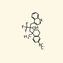 [C-]#[N+]c1ccc2c(c1)CCCC2(C)CC(O)(Cc1ccnc2ccccc12)C(F)(F)F